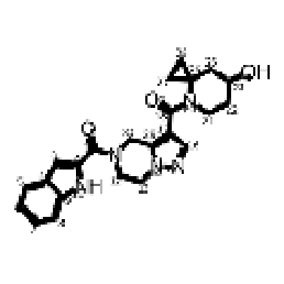 O=C(c1cc2ccccc2[nH]1)N1CCn2ncc(C(=O)N3CCC(O)CC34CC4)c2C1